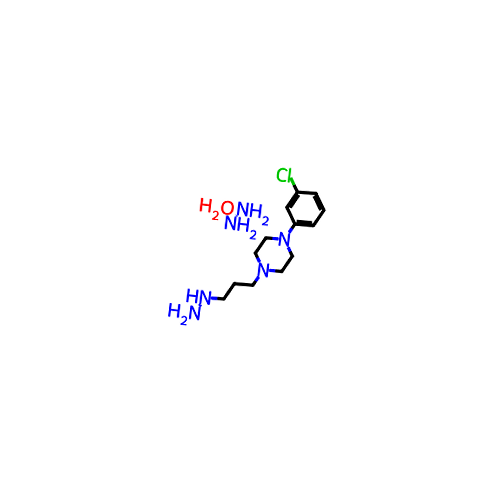 NN.NNCCCN1CCN(c2cccc(Cl)c2)CC1.O